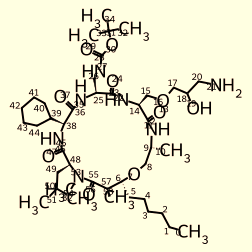 CCCCCC[C@H]1OC[C@@H](C)NC(=O)[C@H](COCC(O)CN)NC(=O)[C@H](CNC(=O)OC(C)(C)C)NC(=O)[C@H](C2CCCCC2)NC(=O)[C@H](CC(C)C)N(C)C(=O)[C@@H]1C